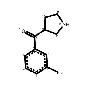 O=C(c1cccc(F)c1)C1CCNC1